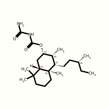 CC[C@@H](C)CC[C@H]1[C@@H](C)[C@@H](OC(=O)NC(N)=O)C[C@H]2C(C)(C)CCC[C@]12C